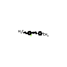 CCCCc1ccc(C#CC=C[C@H]2CC[C@H](CC)CC2)c(F)c1